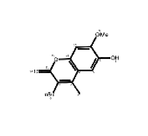 CCCCc1c(C)c2cc(O)c(OC)cc2oc1=O